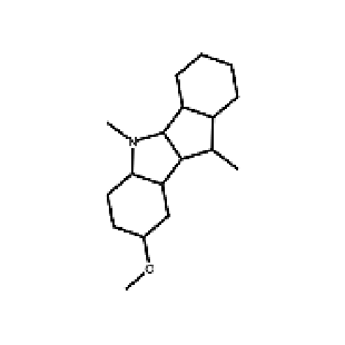 COC1CCC2C(C1)C1C(C)C3CCCCC3C1N2C